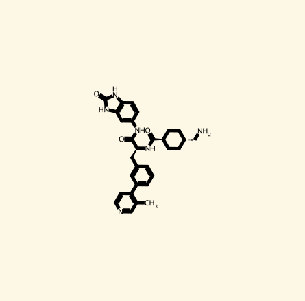 Cc1cnccc1-c1cccc(C[C@H](NC(=O)[C@H]2CC[C@H](CN)CC2)C(=O)Nc2ccc3[nH]c(=O)[nH]c3c2)c1